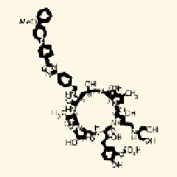 COC1(C2CCCCC2)CCN(c2ccc(-c3nc([C@H]4CC[C@H](CN[C@H]5C[C@@H](O)CNC(=O)[C@@H]6[C@@H](O)[C@@H](C)CN6C(=O)[C@H]([C@H](O)CCNC(CO)CO)NC(=O)[C@H]([C@H](O)Cc6ccc(O)c(OS(=O)(=O)O)c6)NC(=O)[C@@H]6C[C@@H](O)CN6C(=O)[C@H]([C@@H](C)O)NC5=O)CC4)no3)cc2)CC1